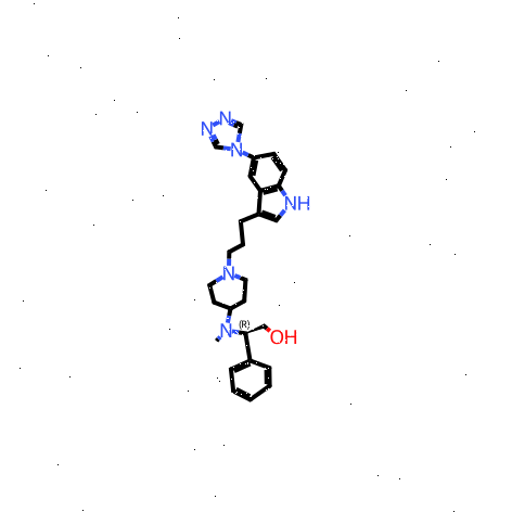 CN(C1CCN(CCCc2c[nH]c3ccc(-n4cnnc4)cc23)CC1)[C@@H](CO)c1ccccc1